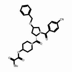 CC(C)(C)C(=O)C(=O)OC1CCN(C(=O)[C@@H]2CC(OCc3ccccc3)CN2C(=O)c2ccc(C#N)cc2)CC1